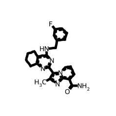 Cc1nc2c(C(N)=O)cccn2c1-c1nc2c(c(NCc3cccc(F)c3)n1)CCCC2